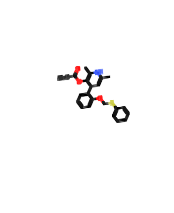 COC(=O)OC1=C(C)NC(C)=CC1c1ccccc1OCSc1ccccc1